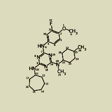 COc1ccc(Nc2nc(NC3CCCCCC3)nc(N(C)C3CCC(C)CC3)n2)cc1F